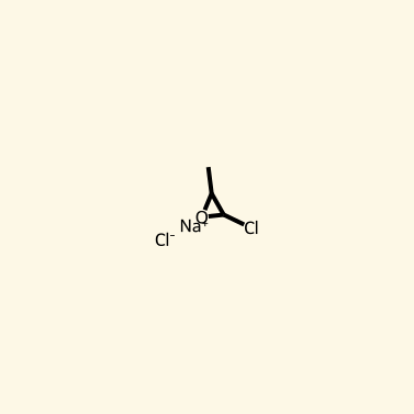 CC1OC1Cl.[Cl-].[Na+]